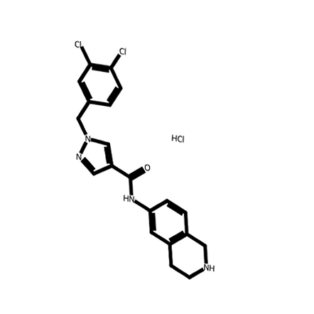 Cl.O=C(Nc1ccc2c(c1)CCNC2)c1cnn(Cc2ccc(Cl)c(Cl)c2)c1